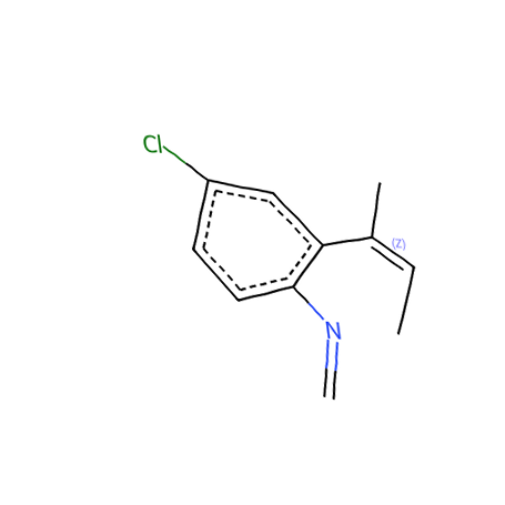 C=Nc1ccc(Cl)cc1/C(C)=C\C